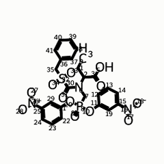 CCC(C(=O)O)N(CP(=O)(Oc1cccc([N+](=O)[O-])c1)Oc1cccc([N+](=O)[O-])c1)C(=O)S(=O)(=O)Cc1ccccc1